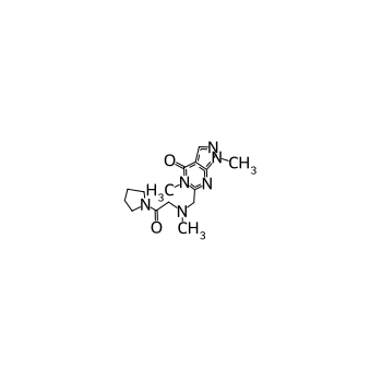 CN(CC(=O)N1CCCC1)Cc1nc2c(cnn2C)c(=O)n1C